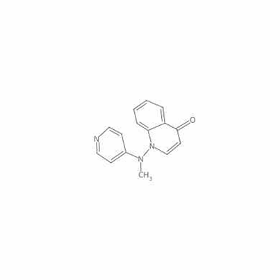 CN(c1ccncc1)n1ccc(=O)c2ccccc21